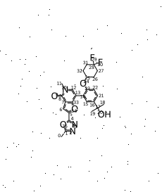 Cc1nnc(-c2cc3c(=O)n(C)cc(-c4cc(C(C)(C)O)ccc4OC4CCC(F)(F)CC4)c3o2)o1